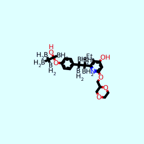 BC(B)(B)C(B)(O)Oc1ccc(C(B)(B)C(B)(B)c2nc(OCC3COCCO3)cc(O)c2CC)cc1